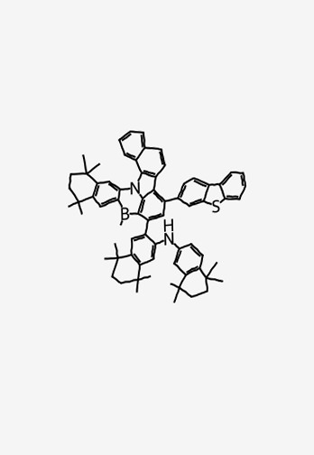 CB1c2cc3c(cc2-n2c4c1c(-c1cc5c(cc1Nc1ccc6c(c1)C(C)(C)CCC6(C)C)C(C)(C)CCC5(C)C)cc(-c1ccc5c(c1)sc1ccccc15)c4c1ccc4ccccc4c12)C(C)(C)CCC3(C)C